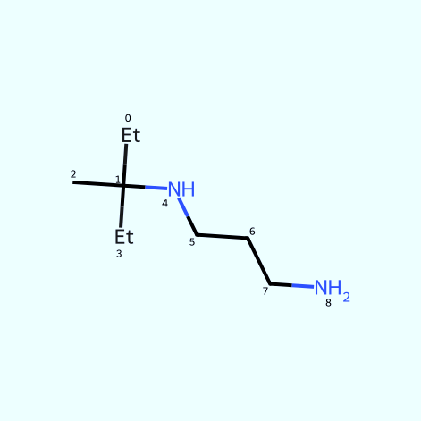 CCC(C)(CC)NCCCN